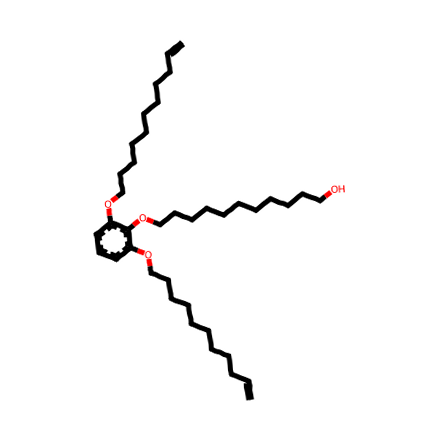 C=CCCCCCCCCCOc1cccc(OCCCCCCCCCC=C)c1OCCCCCCCCCCCO